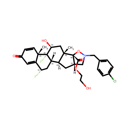 C[C@]12C=CC(=O)C=C1[C@@H](F)C[C@H]1[C@@H]3C[C@H]4CN(Cc5ccc(Cl)cc5)O[C@@]4(C(=O)OCCO)[C@@]3(C)C[C@H](O)[C@@]12F